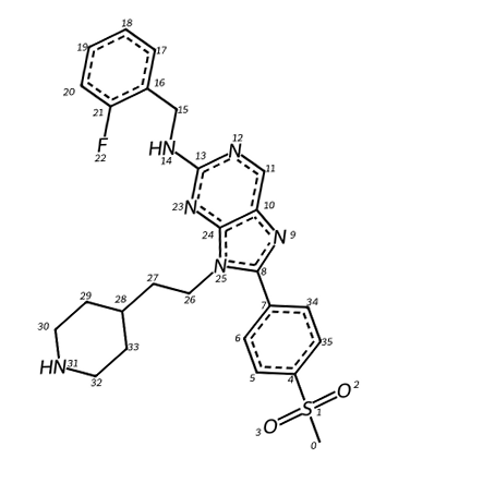 CS(=O)(=O)c1ccc(-c2nc3cnc(NCc4ccccc4F)nc3n2CCC2CCNCC2)cc1